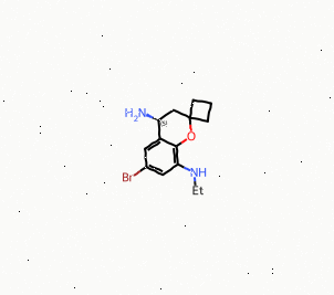 CCNc1cc(Br)cc2c1OC1(CCC1)C[C@@H]2N